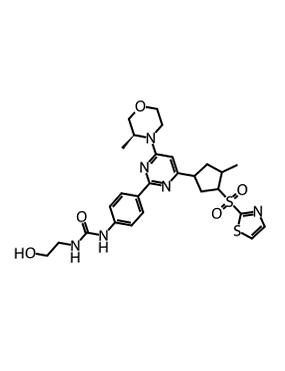 CC1CC(c2cc(N3CCOC[C@@H]3C)nc(-c3ccc(NC(=O)NCCO)cc3)n2)CC1S(=O)(=O)c1nccs1